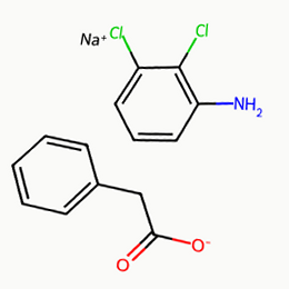 Nc1cccc(Cl)c1Cl.O=C([O-])Cc1ccccc1.[Na+]